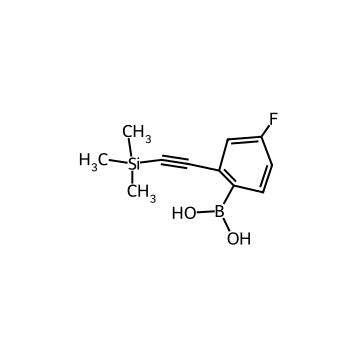 C[Si](C)(C)C#Cc1cc(F)ccc1B(O)O